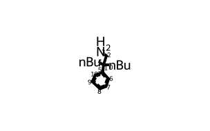 CCCCC(CN)(CCCC)c1ccccc1